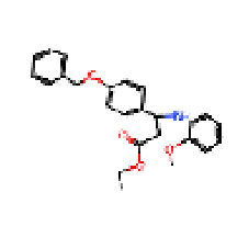 CCOC(=O)CC(Nc1ccccc1OC)c1ccc(OCc2ccccc2)cc1